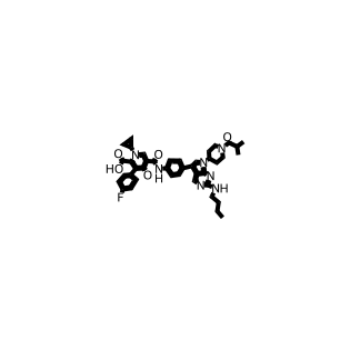 CCCCNc1ncc2c(-c3ccc(NC(=O)c4cn(C5CC5)c(C(=O)O)c(-c5ccc(F)cc5)c4=O)cc3)cn(C3CCN(C(=O)C(C)C)CC3)c2n1